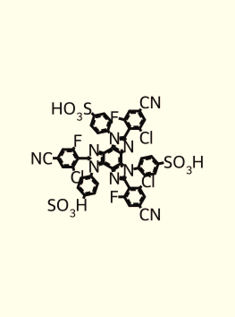 N#Cc1cc(F)c(-c2nc3c(c4nc(-c5c(F)cc(C#N)cc5Cl)n(-c5ccc(S(=O)(=O)O)cc5)c4c4nc(-c5c(F)cc(C#N)cc5Cl)n(-c5ccc(S(=O)(=O)O)cc5)c34)n2-c2ccc(S(=O)(=O)O)cc2)c(Cl)c1